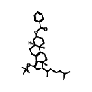 CC(C)CCC[C@@H](C)[C@H]1CC(O[Si](C)(C)C)=C2C3=C(CC[C@@]21C)[C@@]1(C)CC[C@H](OC(=O)c2ccccc2)C[C@@H]1CC3